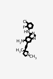 CN1CCC(C)(C#Cc2cc3ncnc(Nc4cccc(Cl)c4F)c3cc2N)C1